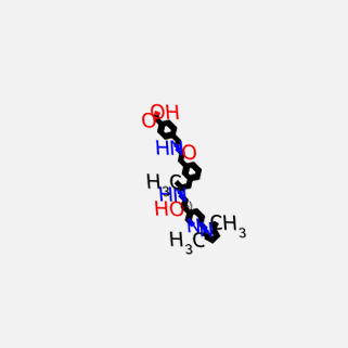 Cc1ccc(C)n1-c1ccc([C@H](O)CNC(C)Cc2cccc(CC(=O)NCc3ccc(C(=O)O)cc3)c2)cn1